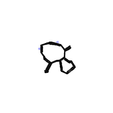 C=C1/C=C\C=C/CC(=O)c2ccccc21